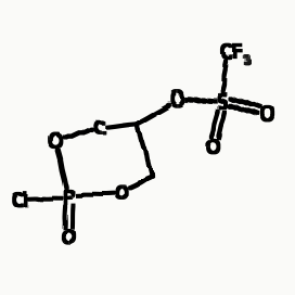 O=P1(Cl)OCC(OS(=O)(=O)C(F)(F)F)CO1